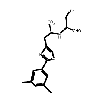 Cc1cc(C)cc(-c2nc(C[C@H](N[C@H](C=O)CC(C)C)C(=O)O)co2)c1